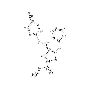 C=CC(=O)N1C[C@@H](Cc2ccccn2)[C@H](OCc2ccc(C(F)(F)F)cc2)C1